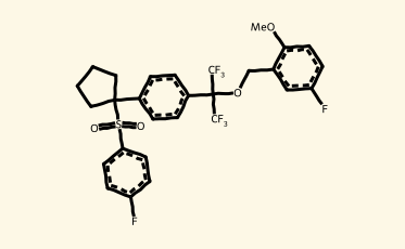 COc1ccc(F)cc1COC(c1ccc(C2(S(=O)(=O)c3ccc(F)cc3)CCCC2)cc1)(C(F)(F)F)C(F)(F)F